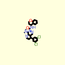 CN(C)C1c2nccc(-c3cc(Cl)cc(Cl)c3)c2C=NN1C(=O)N[C@H]1CCOc2ccccc21